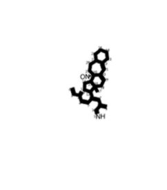 C=CC(=C)/C=C\C(=C/C(=C)C=N)C1CCC2C1(C)CC=C1C=C3CCCCC3CC[C@@]12N=O